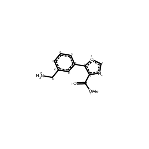 COC(=O)c1ncoc1-c1cccc(CN)c1